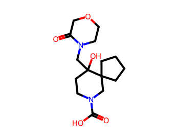 O=C(O)N1CCC(O)(CN2CCOCC2=O)C2(CCCC2)C1